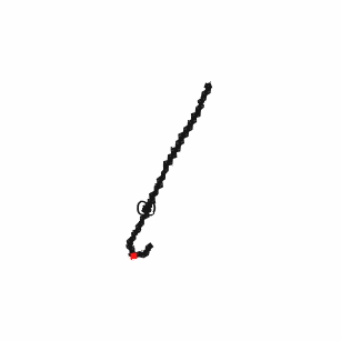 CC/C=C\C/C=C\C/C=C\CCCCCCCC(=O)OCCCCCCCCCCCCCCCCCCCCCCCCCCCCCCCCC(C)C